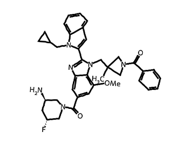 COc1cc(C(=O)N2C[C@H](N)C[C@@H](F)C2)cc2nc(-c3cc4ccccc4n3CC3CC3)n(CC3(C)CN(C(=O)c4ccccc4)C3)c12